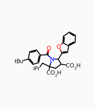 CC(C)CC1(C(=O)O)CC(C(=O)O)C(c2cc3ccccc3o2)N1C(=O)c1ccc(C(C)(C)C)cc1